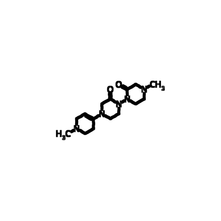 CN1CC=C(N2CCN(N3CCN(C)CC3=O)C(=O)C2)CC1